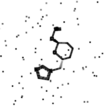 CC(C)(C)O[C@H]1CCC[C@H](Cn2ccnc2)O1